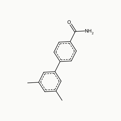 Cc1cc(C)cc(-c2ccc(C(N)=O)cc2)c1